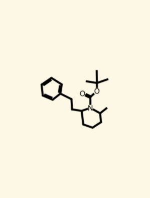 CC1CCCC(CCc2ccccc2)N1C(=O)OC(C)(C)C